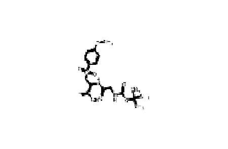 COc1ccc(S(=O)(=O)CC(NC(=O)CNC(=O)OC(C)(C)C)C(=O)O)cc1